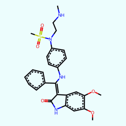 CNCCN(c1ccc(NC(=C2C(=O)Nc3cc(OC)c(OC)cc32)c2ccccc2)cc1)S(C)(=O)=O